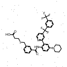 O=C(O)CCSCc1cccc(C(=O)Nc2ccc(N3CCCCC3)cc2-c2cc(C(F)(F)c3cccc(C(F)(F)F)c3)ccn2)c1